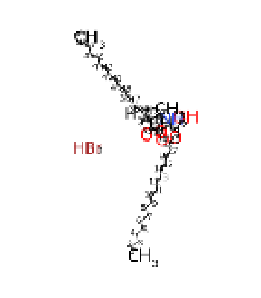 Br.CCCCCCCCC=CCCCCCCCC(=O)OC(CO)C(NC(C)(C)C)OC(=O)CCCCCCCC=CCCCCCCCC